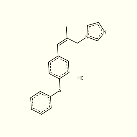 CC(=Cc1ccc(Sc2ccccc2)cc1)Cn1ccnc1.Cl